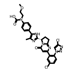 COCCN(C(=O)O)c1ccc(-c2[nH]c([C@@H]3CCc4nc(-c5cc(Cl)ccc5-n5cc(Cl)nn5)cc(=O)n43)nc2C)cc1